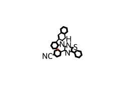 N#Cc1ccc(C2=Nc3c(sc4ccccc34)NC2N2c3ccccc3C3=Cc4ccccc4CC32)cc1